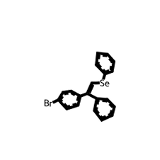 Brc1ccc(C(=C[Se]c2ccccc2)c2ccccc2)cc1